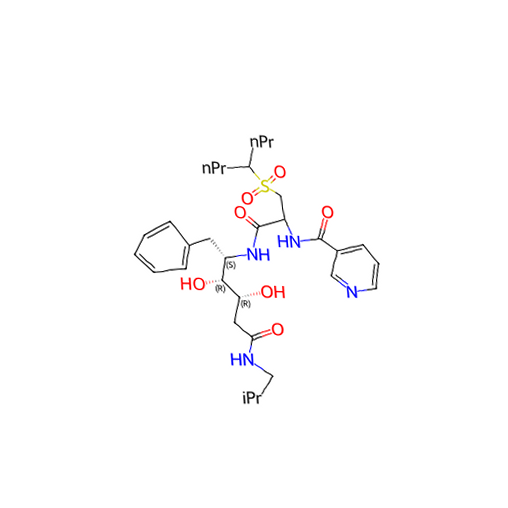 CCCC(CCC)S(=O)(=O)CC(NC(=O)c1cccnc1)C(=O)N[C@@H](Cc1ccccc1)[C@@H](O)[C@H](O)CC(=O)NCC(C)C